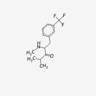 CNC(Cc1cccc(C(F)(F)F)c1)C(=O)C(C)C